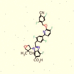 CC1(C)COC[C@H]1n1c(Cc2cc(F)c(-c3ccc(F)c(OCc4cc(F)c(C#N)cc4F)n3)cc2F)nc2c(F)cc(C(=O)O)cc21